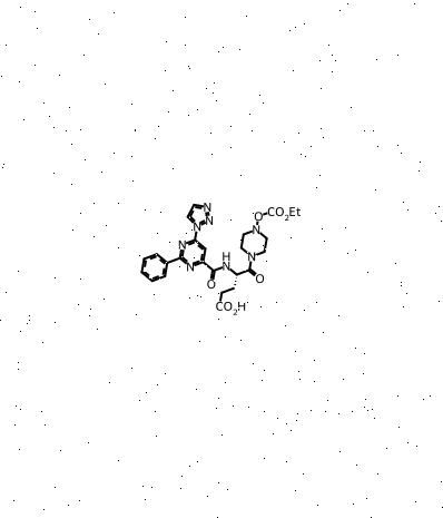 CCOC(=O)ON1CCN(C(=O)[C@H](CCC(=O)O)NC(=O)c2cc(-n3ccnn3)nc(-c3ccccc3)n2)CC1